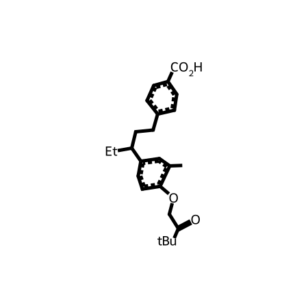 CCC(CCc1ccc(C(=O)O)cc1)c1ccc(OCC(=O)C(C)(C)C)c(C)c1